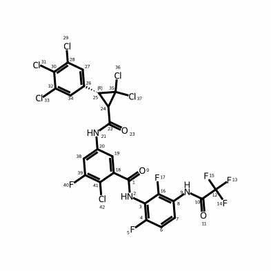 O=C(Nc1c(F)ccc(NC(=O)C(F)(F)F)c1F)c1cc(NC(=O)C2[C@H](c3cc(Cl)c(Cl)c(Cl)c3)C2(Cl)Cl)cc(F)c1Cl